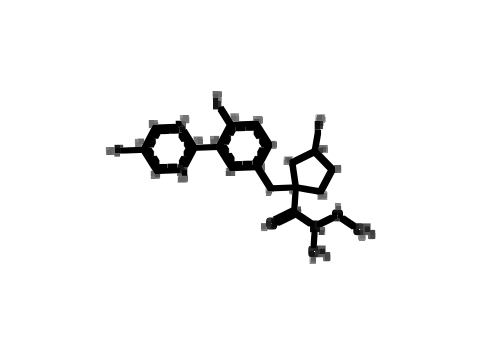 CON(C)C(=O)C1(Cc2ccc(F)c(-c3ncc(F)cn3)c2)CCC(F)C1